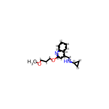 COCCCOc1cc(CNC2CC2)c2ccccc2n1